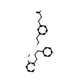 O=C(O)CCc1cccc(CCN[C@H](c2ccccc2)[C@H]2CNc3cccnc3C2)c1